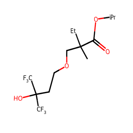 CCC(C)(COCCC(O)(C(F)(F)F)C(F)(F)F)C(=O)OC(C)C